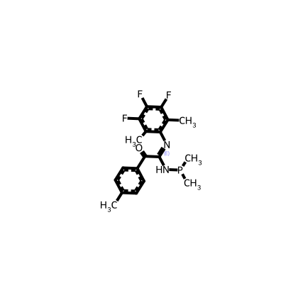 Cc1ccc(C(=O)/C(=N\c2c(C)c(F)c(F)c(F)c2C)NP(C)C)cc1